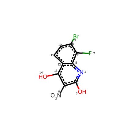 O=[N+]([O-])c1c(O)nc2c(F)c(Br)ccc2c1O